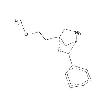 NOCCC12CNC(C1)C(c1ccccc1)O2